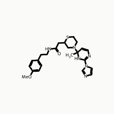 COc1ccc(CCNC(=O)CC2CN(C3(C)C=CN=C(n4ccnc4)N3)CCS2)cc1